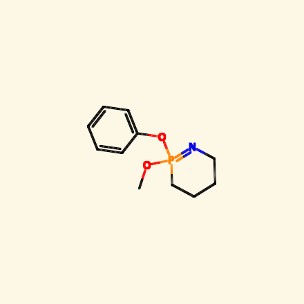 COP1(Oc2ccccc2)=NCCCC1